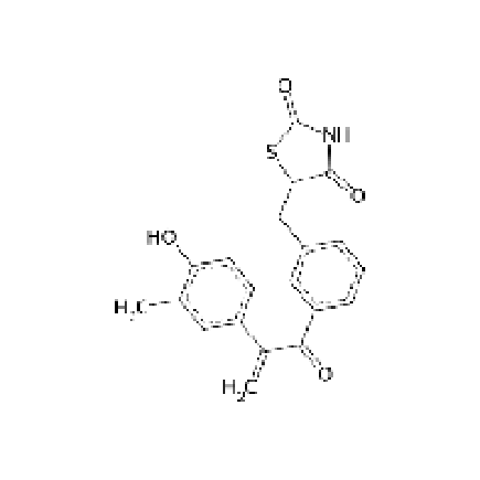 C=C(C(=O)c1cccc(CC2SC(=O)NC2=O)c1)c1ccc(O)c(C)c1